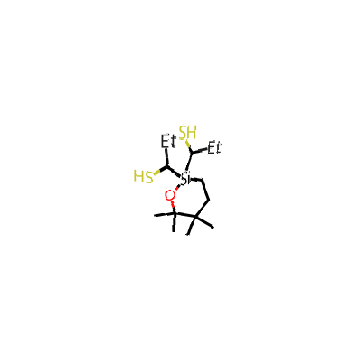 CCC(S)[Si]1(C(S)CC)CCC(C)(C)C(C)(C)O1